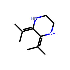 CC(C)=C1NCCNC1=C(C)C